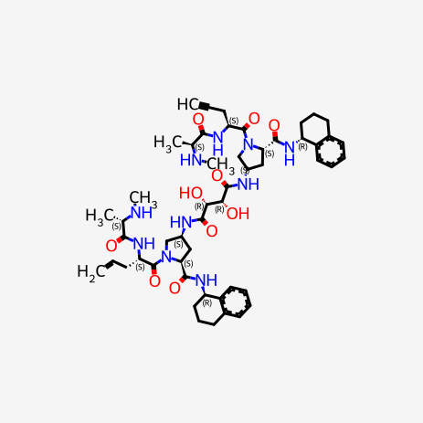 C#CC[C@H](NC(=O)[C@H](C)NC)C(=O)N1C[C@@H](NC(=O)[C@H](O)[C@@H](O)C(=O)N[C@H]2C[C@@H](C(=O)N[C@@H]3CCCc4ccccc43)N(C(=O)[C@H](CC=C)NC(=O)[C@H](C)NC)C2)C[C@H]1C(=O)N[C@@H]1CCCc2ccccc21